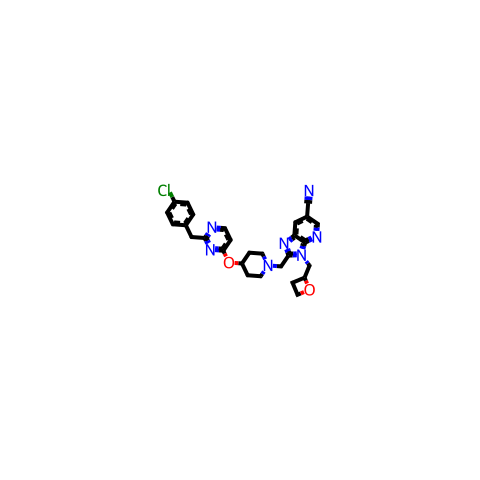 N#Cc1cnc2c(c1)nc(CN1CCC(Oc3ccnc(Cc4ccc(Cl)cc4)n3)CC1)n2CC1CCO1